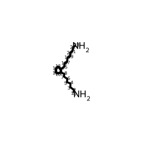 NCCCCCCCCc1ccccc1CCCCCCCCN